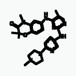 Cc1cnc(Nc2ccc(N3CCN(C)CC3)nc2)nc1Nc1ccc2c(c1)N(C)C(=O)C(C)(C)O2